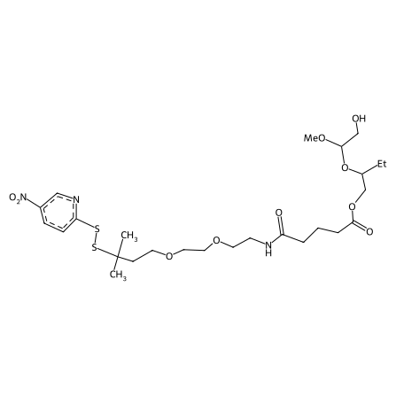 CCC(COC(=O)CCCC(=O)NCCOCCOCCC(C)(C)SSc1ccc([N+](=O)[O-])cn1)OC(CO)OC